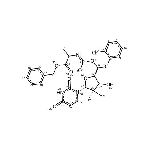 CC(/N=[P+](\[O-])OC(Oc1ccccc1Cl)[C@@H]1O[C@@H](n2ccc(=O)[nH]c2=O)[C@](C)(F)[C@@H]1O)C(=O)OCc1ccccc1